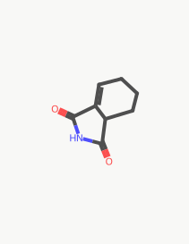 O=C1NC(=O)C2CCCC=C12